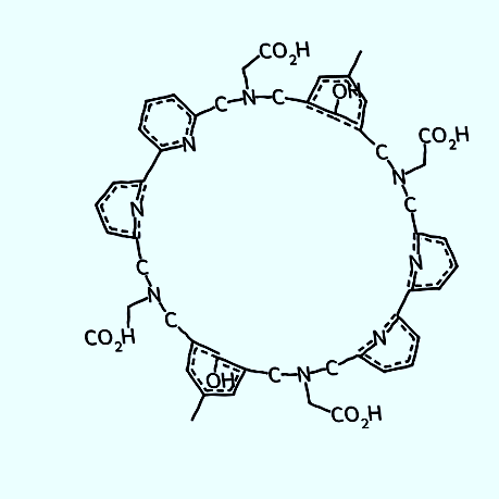 Cc1cc2c(O)c(c1)CN(CC(=O)O)Cc1cccc(n1)-c1cccc(n1)CN(CC(=O)O)Cc1cc(C)cc(c1O)CN(CC(=O)O)Cc1cccc(n1)-c1cccc(n1)CN(CC(=O)O)C2